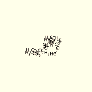 C#CCCOc1cc(C2=NC3(CCN(S(=O)(=O)CCc4ccc(C(=O)OC(C)(C)C)cc4C)CC3)C(=O)N2OC(C)(C)C)cc(C(F)(F)F)c1